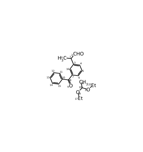 CC(C=O)c1cccc(C(=O)c2ccccc2)c1.CCOC(C)OCC